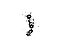 CC(C)S(=O)(=O)N1CCC(c2ccc3[nH]c(C(=O)Nc4cc(F)cc(F)c4)cc3c2)C1